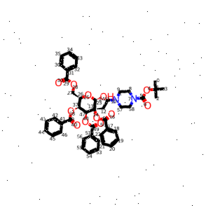 CC(C)(C)OC(=O)N1CCN(CC[C@]2(OC(=O)c3ccccc3)[C@@H](O)O[C@H](COC(=O)c3ccccc3)[C@@H](OC(=O)c3ccccc3)[C@@H]2OC(=O)c2ccccc2)CC1